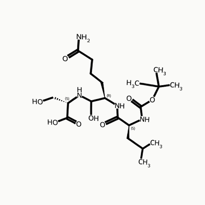 CC(C)C[C@H](NC(=O)OC(C)(C)C)C(=O)N[C@H](CCCC(N)=O)C(O)N[C@@H](CO)C(=O)O